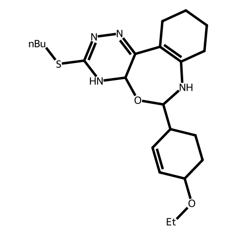 CCCCSC1=NN=C2C3=C(CCCC3)NC(C3C=CC(OCC)CC3)OC2N1